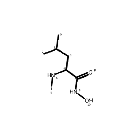 CC(C)CC(NI)C(=O)NO